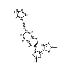 C[C@@H]1CNC(N2CNC=C2c2ccc3cc(C#Cc4c[nH]cn4)ccc3c2)C1